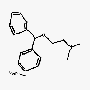 CN(C)CCOC(c1ccccc1)c1ccccc1.CNC